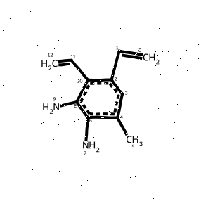 C=Cc1cc(C)c(N)c(N)c1C=C